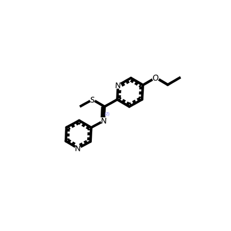 CCOc1ccc(/C(=N/c2cccnc2)SC)nc1